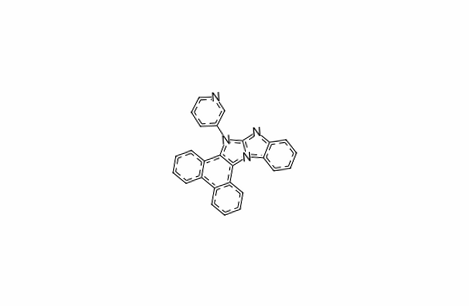 c1cncc(-n2c3c4ccccc4c4ccccc4c3n3c4ccccc4nc23)c1